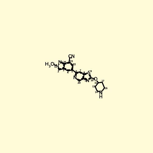 Cn1cc2cc(-c3cc4sc(OC5CCNCC5)nc4cn3)cc(C#N)c2n1